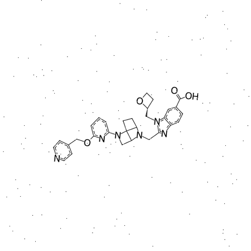 O=C(O)c1ccc2nc(CN3C4CCC45C3CN5c3cccc(OCc4ccncc4)n3)n(C[C@@H]3CCO3)c2c1